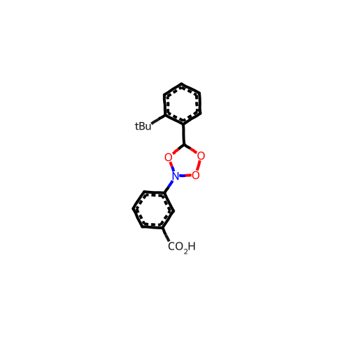 CC(C)(C)c1ccccc1C1OON(c2cccc(C(=O)O)c2)O1